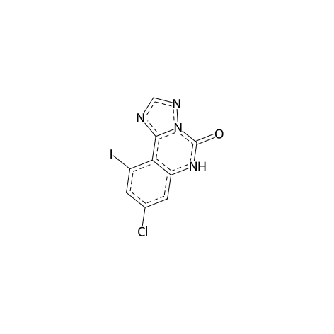 O=c1[nH]c2cc(Cl)cc(I)c2c2ncnn12